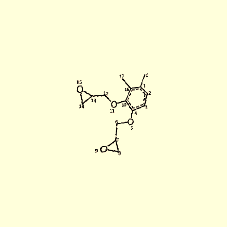 Cc1ccc(OCC2CO2)c(OCC2CO2)c1C